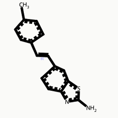 Cc1ccc(/C=C/c2ccc3nc(N)sc3c2)cc1